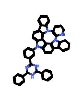 C1=Cc2c(n3c4c(n5c6ccccc6c6ccc7c(c8c(ccc2c83)n7-c2cccc(C3=NC(c7ccccc7)NC(c7ccccc7)N3)c2)c65)C=CCN4)CC1